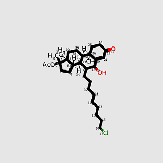 CC(=O)OC1(C)CC[C@H]2[C@@H]3C(CCCCCCCCCCl)C(O)C4=CC(=O)CC[C@]4(C)[C@@H]3CC[C@@]21C